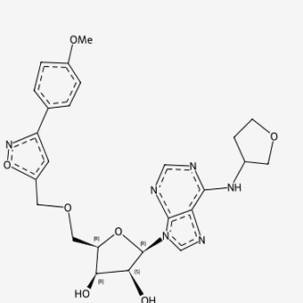 COc1ccc(-c2cc(COC[C@H]3O[C@@H](n4cnc5c(NC6CCOC6)ncnc54)[C@@H](O)[C@H]3O)on2)cc1